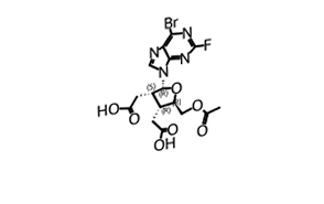 CC(=O)OC[C@@H]1O[C@@H](n2cnc3c(Br)nc(F)nc32)[C@@H](CC(=O)O)[C@H]1CC(=O)O